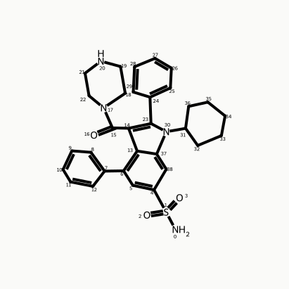 NS(=O)(=O)c1cc(-c2ccccc2)c2c(C(=O)N3CCNCC3)c(-c3ccccc3)n(C3CCCCC3)c2c1